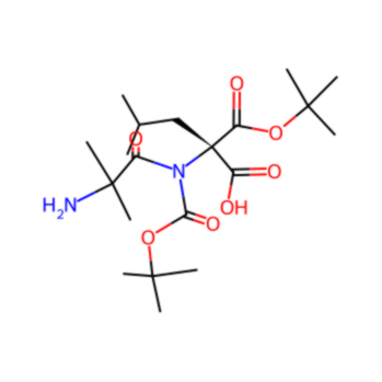 CC(C)C[C@](C(=O)O)(C(=O)OC(C)(C)C)N(C(=O)OC(C)(C)C)C(=O)C(C)(C)N